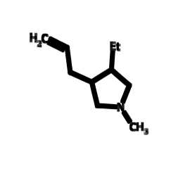 C=CCC1CN(C)CC1CC